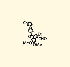 CCN1C=C(C(=O)N2CCN(c3cccc(Cl)c3)CC2)c2cc(OC)c(OC)cc2C1C=O